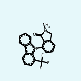 CN1Cc2cccc(-n3c4ccccc4c4cccc(C(F)(F)F)c43)c2C1=O